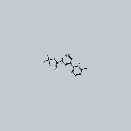 Cc1cccc(/C(C=N)=C/NC(=O)OC(C)(C)C)n1